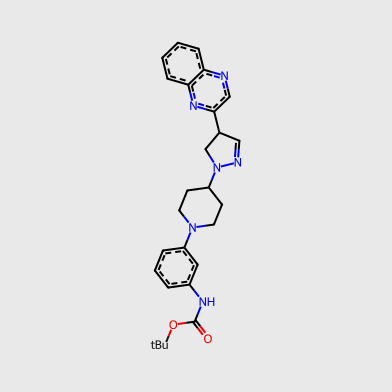 CC(C)(C)OC(=O)Nc1cccc(N2CCC(N3CC(c4cnc5ccccc5n4)C=N3)CC2)c1